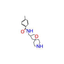 Cc1ccc(C(=O)NCC2COC3(CCNCC3)C2)cc1